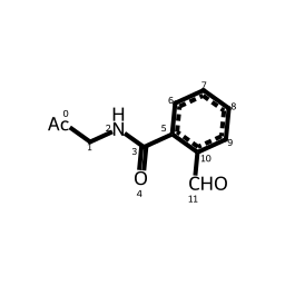 CC(=O)CNC(=O)c1ccccc1C=O